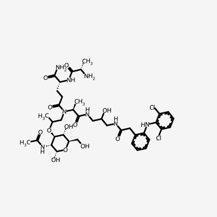 CC(=O)N[C@@H]1[C@@H](OC(C)CN(C(=O)CC[C@@H](NC(=O)[C@H](C)N)C(N)=O)[C@@H](C)C(=O)NCC(O)CNC(=O)Cc2ccccc2Nc2c(Cl)cccc2Cl)[C@H](O)[C@@H](CO)O[C@@H]1O